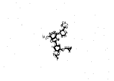 COC(=O)C1CN(C(=O)c2nc(-c3ccc(OC(F)F)c(OCC4CC4)c3)oc2[C@H](C)N)CCO1